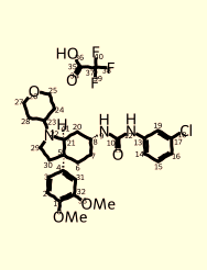 COc1ccc([C@@]23CC[C@@H](NC(=O)Nc4cccc(Cl)c4)C[C@@H]2N(C2CCOCC2)CC3)cc1OC.O=C(O)C(F)(F)F